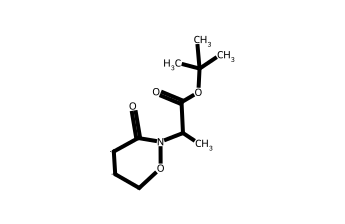 CC(C(=O)OC(C)(C)C)N1OC[CH][CH]C1=O